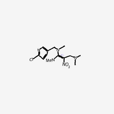 CN/C(=C(/CN(C)C)[N+](=O)[O-])N(C)Cc1ccc(Cl)nc1